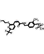 CCCSc1nc(C(F)(F)F)ccc1/C=C\C(=O)NCc1ccc(NS(C)(=O)=O)c(C)c1